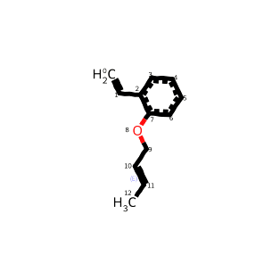 C=Cc1ccccc1OC/C=C/C